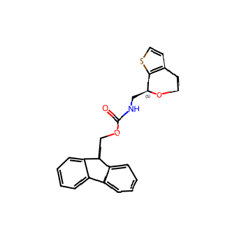 O=C(NC[C@@H]1OCCc2ccsc21)OCC1c2ccccc2-c2ccccc21